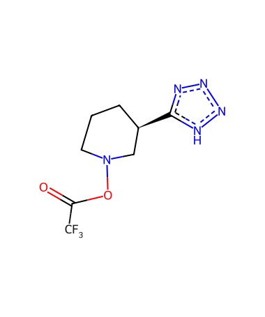 O=C(ON1CCC[C@@H](c2nnn[nH]2)C1)C(F)(F)F